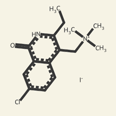 CCc1[nH]c(=O)c2cc(Cl)ccc2c1C[N+](C)(C)C.[I-]